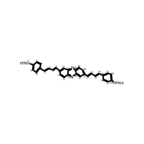 CCCCCCc1ccc(/C=C/C=C/c2ccc3nc4cc(/C=C/C=C/c5ccc(CCCCCC)cc5)ccc4nc3c2)cc1